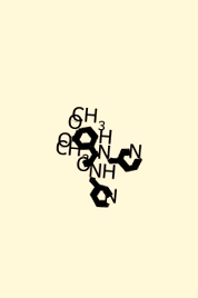 COc1ccc(C(NCc2cccnc2)C(=O)NCc2cccnc2)cc1OC